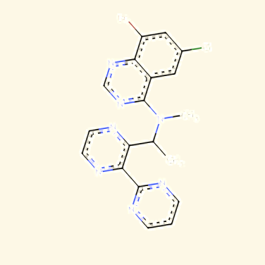 CC(c1nccnc1-c1ncccn1)N(C)c1ncnc2c(Br)cc(Cl)cc12